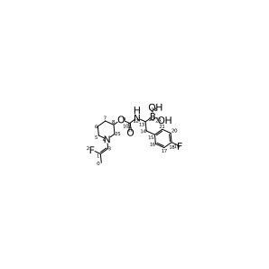 CC(F)=CN1CCCC(OC(=O)NC(Cc2ccc(F)cc2)B(O)O)C1